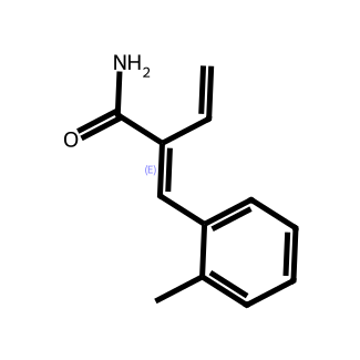 C=C/C(=C\c1ccccc1C)C(N)=O